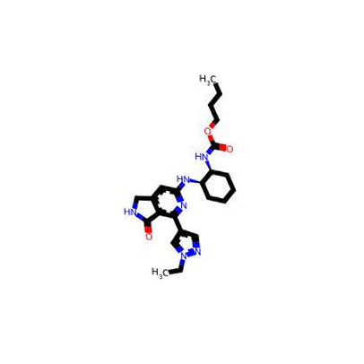 CCCCOC(=O)N[C@H]1CCCC[C@H]1Nc1cc2c(c(-c3cnn(CC)c3)n1)C(=O)NC2